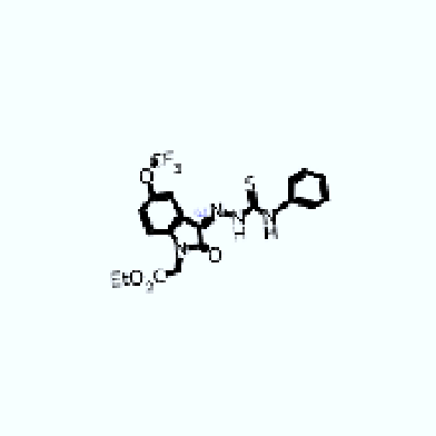 CCOC(=O)CN1C(=O)/C(=N\NC(=S)Nc2ccccc2)c2cc(OC(F)(F)F)ccc21